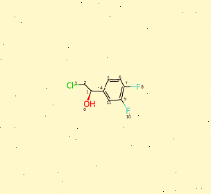 O[C@@H](CCl)c1ccc(F)c(F)c1